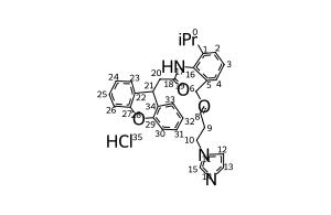 CC(C)c1cccc(COCCCn2ccnc2)c1NC(=O)CC1c2ccccc2Oc2ccccc21.Cl